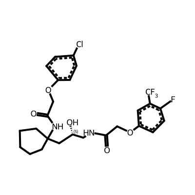 O=C(COc1ccc(F)c(C(F)(F)F)c1)NC[C@@H](O)CC1(NC(=O)COc2ccc(Cl)cc2)CCCCC1